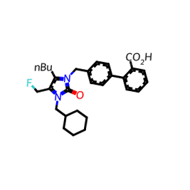 CCCCc1c(CF)n(CC2CCCCC2)c(=O)n1Cc1ccc(-c2ccccc2C(=O)O)cc1